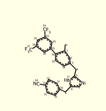 Cc1cc(Cc2ncc(Cc3ccc(C#N)cc3)[nH]2)ccc1-c1cc(C(F)(F)F)cc(C(F)(F)F)c1